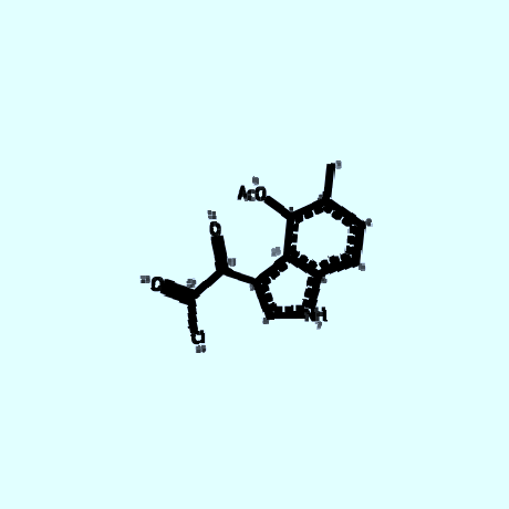 CC(=O)Oc1c(C)ccc2[nH]cc(C(=O)C(=O)Cl)c12